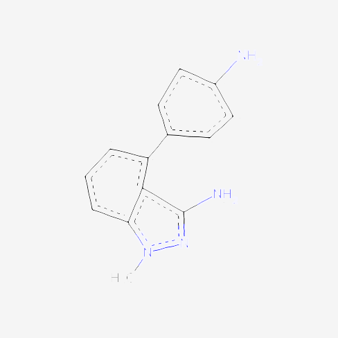 Cn1nc(N)c2c(-c3ccc(N)cc3)cccc21